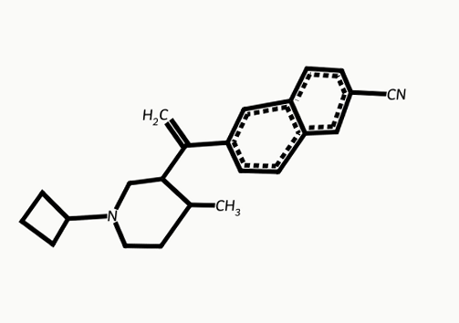 C=C(c1ccc2cc(C#N)ccc2c1)C1CN(C2CCC2)CCC1C